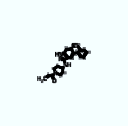 C=CC(=O)N1CCC(Nc2n[nH]c3cc(Cl)c(-c4ccccc4Cl)cc23)CC1